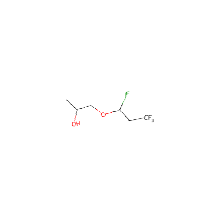 CC(O)COC(F)CC(F)(F)F